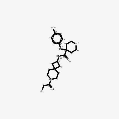 O=C(CCl)N1CCC2(CC1)CC(NC(=O)C1(Nc3ccc(Cl)cc3)CCOCC1)C2